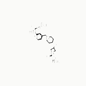 CC(C)(C)OC(=O)Nc1cc(CN2CCC(OC3CN(C(=O)OC(C)(C)C)C3)CC2)ccn1